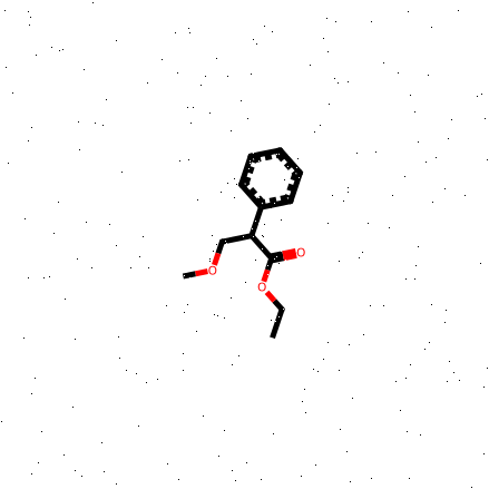 CCOC(=O)C(COC)c1ccccc1